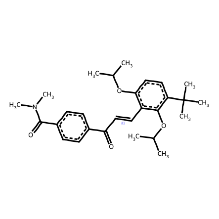 CC(C)Oc1ccc(C(C)(C)C)c(OC(C)C)c1/C=C/C(=O)c1ccc(C(=O)N(C)C)cc1